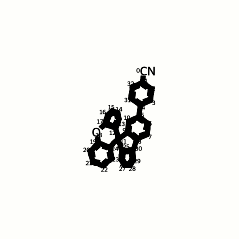 N#Cc1ccc(-c2ccc3c(c2)C2(c4ccccc4Oc4ccccc42)c2c[c]ccc2-3)cc1